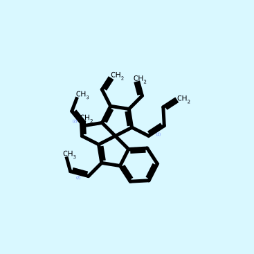 C=C/C=C\C1=C(C=C)C(C=C)=C(/C=C\C)C12C(C=C)=C(/C=C\C)c1ccccc12